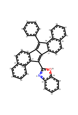 c1ccc(C2=C3C(=C(c4nc5ccccc5o4)c4c3ccc3ccccc43)c3ccc4ccccc4c32)cc1